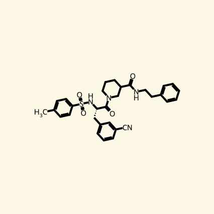 Cc1ccc(S(=O)(=O)N[C@@H](Cc2cccc(C#N)c2)C(=O)N2CCCC(C(=O)NCCc3ccccc3)C2)cc1